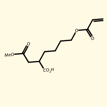 C=CC(=O)OCCCCC(CC(=O)OC)C(=O)O